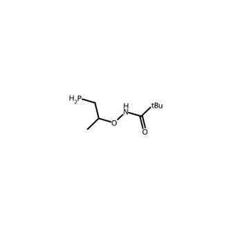 CC(CP)ONC(=O)C(C)(C)C